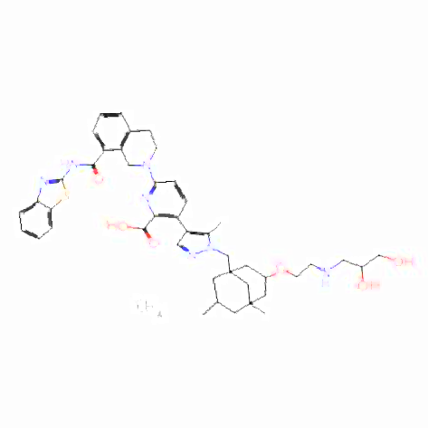 C.Cc1c(-c2ccc(N3CCc4cccc(C(=O)Nc5nc6ccccc6s5)c4C3)nc2C(=O)O)cnn1CC12CC(C)CC(C)(CC(OCCNCC(O)CO)C1)C2